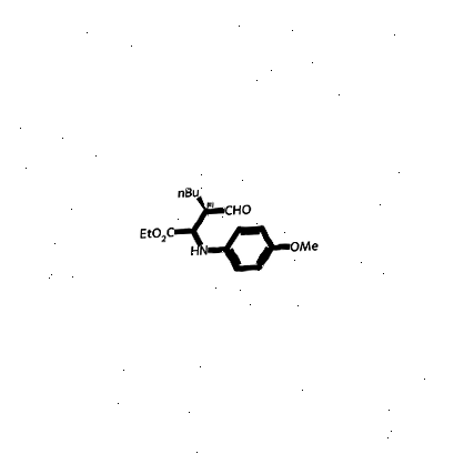 CCCC[C@@H](C=O)C(Nc1ccc(OC)cc1)C(=O)OCC